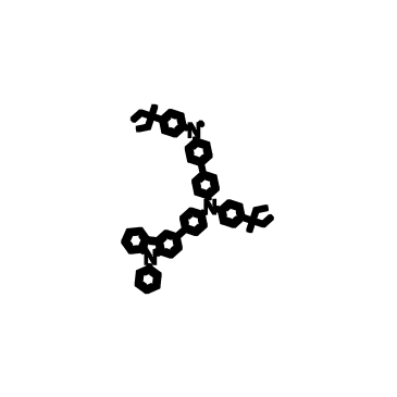 CCC(C)(CC)c1ccc(N(C)c2ccc(-c3ccc(N(c4ccc(-c5ccc6c(c5)c5ccccc5n6-c5ccccc5)cc4)c4ccc(C(C)(CC)CC)cc4)cc3)cc2)cc1